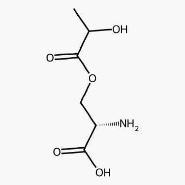 CC(O)C(=O)OC[C@H](N)C(=O)O